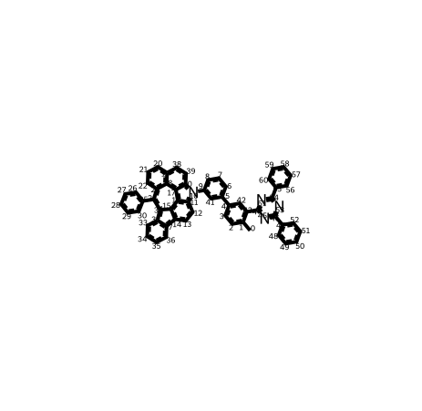 Cc1ccc(-c2cccc(-n3c4ccc5c6c4c4c7c(cccc7c(-c7ccccc7)c-6c6ccccc65)ccc43)c2)cc1-c1nc(-c2ccccc2)nc(-c2ccccc2)n1